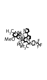 COc1cc(C)[nH]c(=O)c1CNC(=O)c1cc2c(-c3cccnc3C)ccn2c(C(C)N2CCN(C(F)C(F)F)CC2)c1C